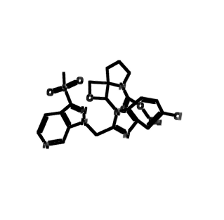 CC(C)(C)OC(=O)N1CCCC12COC2n1c(Cn2nc(S(C)(=O)=O)c3ccncc32)nc2cc(Cl)ccc21